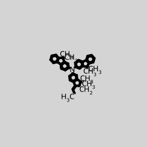 C=C1/C(=C\CC)c2ccc(N(c3ccc4c(c3)C(C)(C)c3ccccc3-4)c3ccc4c(c3)C(C)(C)c3ccccc3-4)cc2C1(C)C